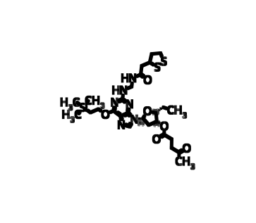 CC[C@H]1O[C@@H](n2cnc3c(OCC[Si](C)(C)C)nc(NCNC(=O)CC4CCSS4)nc32)C[C@H]1OC(=O)CCC(C)=O